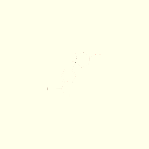 CC(C)c1ccc(C2(O)CCC(O)CC2)cc1